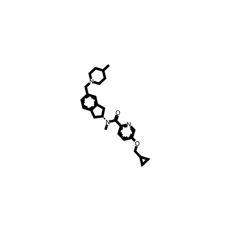 CC1CCN(Cc2ccc3c(c2)C[C@H](N(C)C(=O)c2ccc(OCC4CC4)cn2)C3)CC1